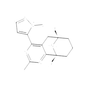 Cc1nc(-c2ccnn2C)c2c(n1)[C@H]1CCC[C@@H](C2)N1